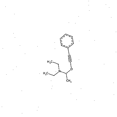 CCN(CC)C(C)OC#Cc1ccccc1